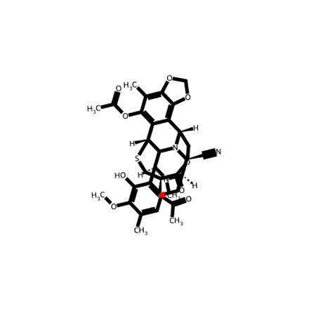 COc1c(C)cc2c(c1O)[C@H]1C3[C@@H]4SC[C@H](OC(C)=O)C(=O)OC[C@@H](c5c6c(c(C)c(OC(C)=O)c54)OCO6)N3[C@@H](C#N)[C@@H](C2)N1C